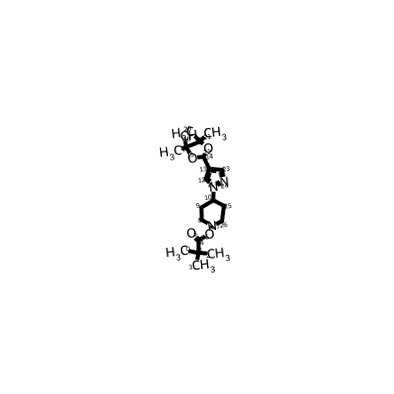 CC(C)(C)C(=O)ON1CCC(n2cc(C3OC(C)(C)C(C)(C)O3)cn2)CC1